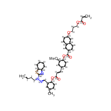 C=CCCN(/N=C/c1cc(C)ccc1OC(=O)/C=C/c1ccc(OC(=O)c2ccc3cc(OCCCOC(=O)C=C)ccc3c2)c(OC)c1)c1nc2ccccc2s1